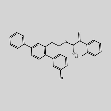 CN(OCCc1cc(-c2ccccc2)ccc1-c1cccc(O)c1)C(=O)c1ccccc1C=O